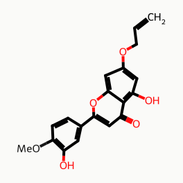 C=CCOc1cc(O)c2c(=O)cc(-c3ccc(OC)c(O)c3)oc2c1